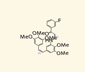 COc1cc(/C=C\c2cc(OC)c(OC)c(OC)c2)cc(N/C=C\C(=O)c2cccc(F)c2)c1OC